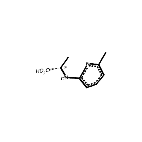 Cc1cccc(N[C@@H](C)C(=O)O)n1